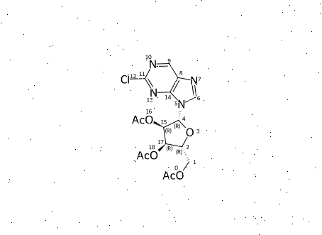 CC(=O)OC[C@H]1O[C@@H](n2cnc3cnc(Cl)nc32)[C@H](OC(C)=O)[C@@H]1OC(C)=O